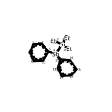 CC[Si](CC)(CC)[Sb]([c]1ccccc1)[c]1ccccc1